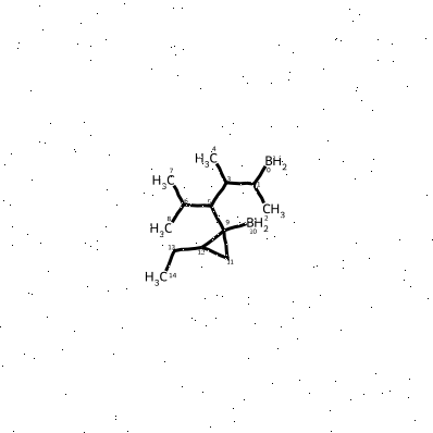 BC(C)C(C)C(C(C)C)C1(B)CC1CC